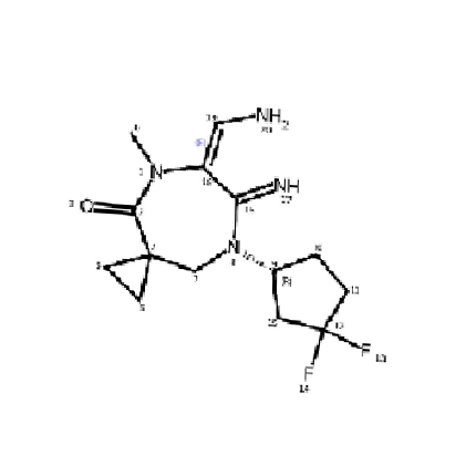 CN1C(=O)C2(CC2)CN([C@@H]2CCC(F)(F)C2)C(=N)/C1=C\N